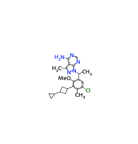 COc1c(C(C)n2nc(C)c3c(N)ncnc32)cc(Cl)c(C)c1C1CC(C2CC2)C1